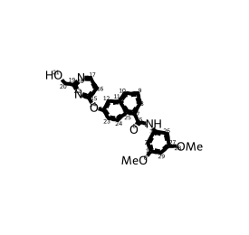 COc1cc(NC(=O)c2cccc3cc(Oc4ccnc(CO)n4)ccc23)cc(OC)c1